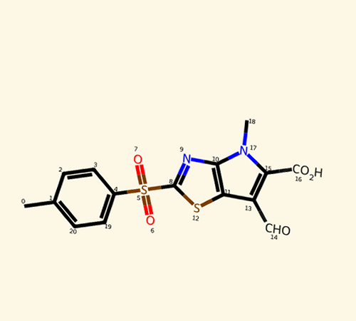 Cc1ccc(S(=O)(=O)c2nc3c(s2)c(C=O)c(C(=O)O)n3C)cc1